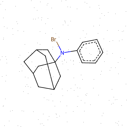 BrN(c1ccccc1)C12CC3CC(CC(C3)C1)C2